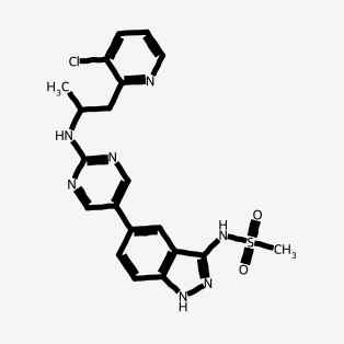 CC(Cc1ncccc1Cl)Nc1ncc(-c2ccc3[nH]nc(NS(C)(=O)=O)c3c2)cn1